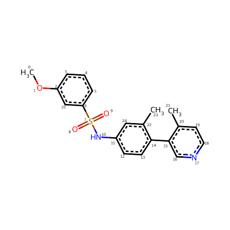 COc1cccc(S(=O)(=O)Nc2ccc(-c3cnccc3C)c(C)c2)c1